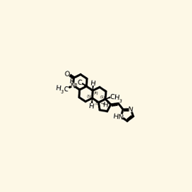 CN1C(=O)CC[C@@]2(C)C1CC[C@@H]1[C@H]2CC[C@]2(C)C(=Cc3ncc[nH]3)CC[C@@H]12